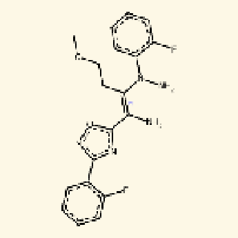 COCC/C(=C(/N)c1nc(-c2ccccc2F)no1)N(N)c1ccccc1F